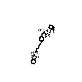 CC1(C)C2CC[C@]1(CS(=O)(=O)N[C@@H](Cc1ccc(OCCCC(=O)Nc3nc4ccccc4[nH]3)cc1)C(=O)O)C(=O)C2